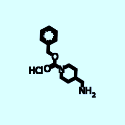 Cl.NCC1CCN(C(=O)OCc2ccccc2)CC1